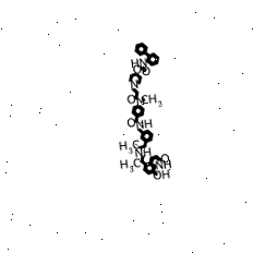 C[C@H](Cc1cccc(CNC(=O)c2ccc(N(C)C(=O)CCN3CCC(OC(=O)Nc4ccccc4-c4ccccc4)CC3)cc2)c1)NC[C@H](C)c1ccc(O)c2[nH]c(=O)ccc12